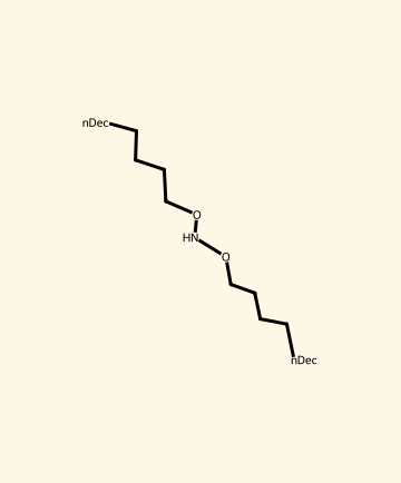 CCCCCCCCCCCCCCONOCCCCCCCCCCCCCC